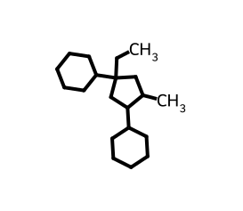 CCC1(C2CCCCC2)CC(C)C(C2CCCCC2)C1